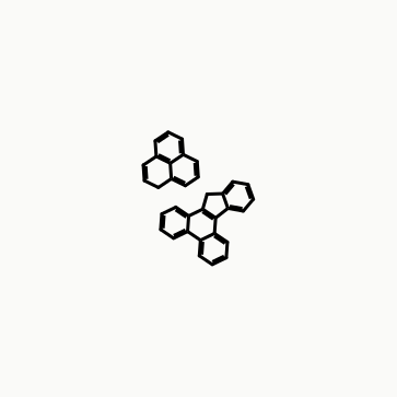 C1=Cc2cccc3cccc(c23)C1.c1ccc2c(c1)Cc1c-2c2ccccc2c2ccccc12